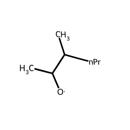 CCCC(C)C(C)[O]